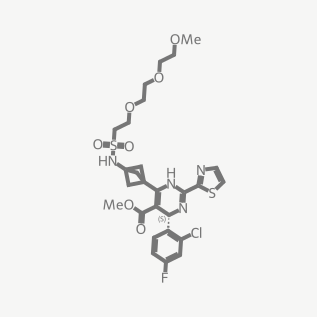 COCCOCCOCCS(=O)(=O)NC12CC(C3=C(C(=O)OC)[C@@H](c4ccc(F)cc4Cl)N=C(c4nccs4)N3)(C1)C2